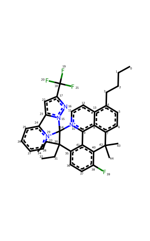 CCCCc1ccc2c3c4[n+](ccc13)C1(n3nc(C(F)(F)F)cc3-c3cccc[n+]31)C(CC)(CC)c1ccc(F)c(c1-4)C2(C)C